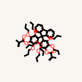 C=C(C)C(=O)Oc1c(OCCC)c(OCCC)c(C2(c3c(OCCC)c(OCCC)c(OC(=O)C(=C)C)c(OCCC)c3OCCC)c3ccccc3-c3ccccc32)c(OCCC)c1OCCC